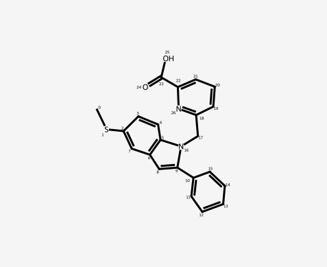 CSc1ccc2c(c1)cc(-c1ccccc1)n2Cc1cccc(C(=O)O)n1